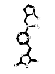 CCN1N=CCC1CN(C)c1nccc(/C=C2\SC(=O)NC2=O)n1